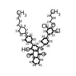 CCCCCC1CCC(c2ccc(-c3cc(Sc4ccc(-c5cc(Cl)c(OCCCC)c(Cl)c5)cc4)c4c(c3O)C(=O)c3ccccc3C4=O)cc2)CC1